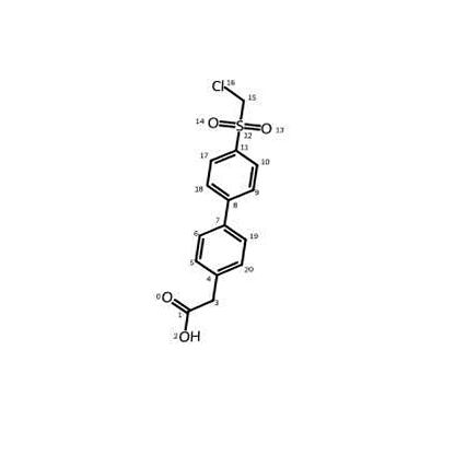 O=C(O)Cc1ccc(-c2ccc(S(=O)(=O)CCl)cc2)cc1